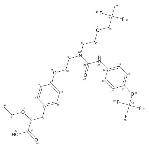 CCOC(Cc1ccc(OCCN(CCOCC(C)(F)F)C(=O)Nc2ccc(OC(F)(F)F)cc2)cc1)C(=O)O